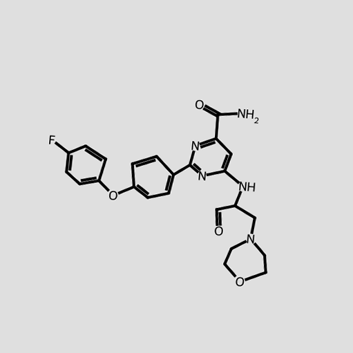 NC(=O)c1cc(NC(C=O)CN2CCOCC2)nc(-c2ccc(Oc3ccc(F)cc3)cc2)n1